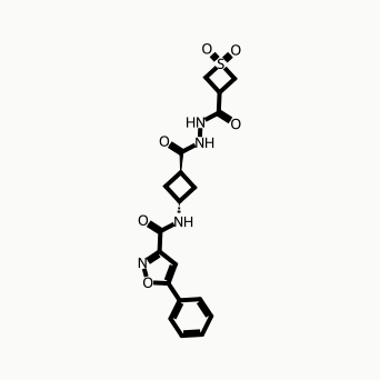 O=C(N[C@H]1C[C@H](C(=O)NNC(=O)C2CS(=O)(=O)C2)C1)c1cc(-c2ccccc2)on1